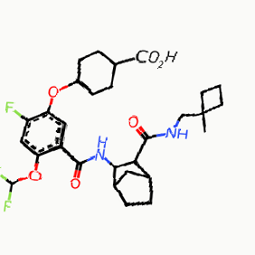 CC1(CNC(=O)C2C3CCC(C3)C2NC(=O)c2cc(OC3CCC(C(=O)O)CC3)c(F)cc2OC(F)F)CCC1